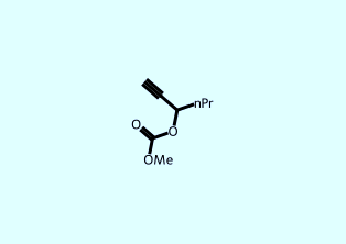 C#CC(CCC)OC(=O)OC